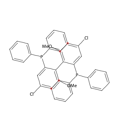 COc1cc(Cl)cc(P(c2ccccc2)c2ccccc2)c1-c1c(OC)cc(Cl)cc1P(c1ccccc1)c1ccccc1